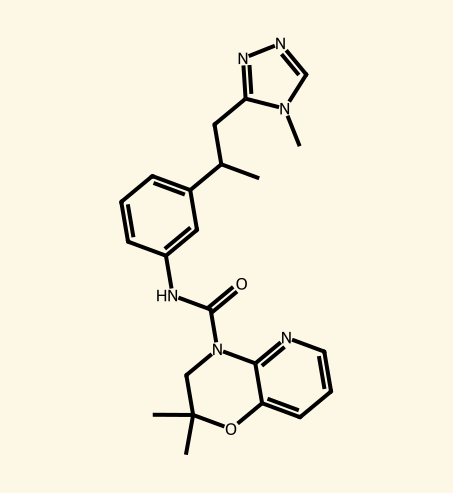 CC(Cc1nncn1C)c1cccc(NC(=O)N2CC(C)(C)Oc3cccnc32)c1